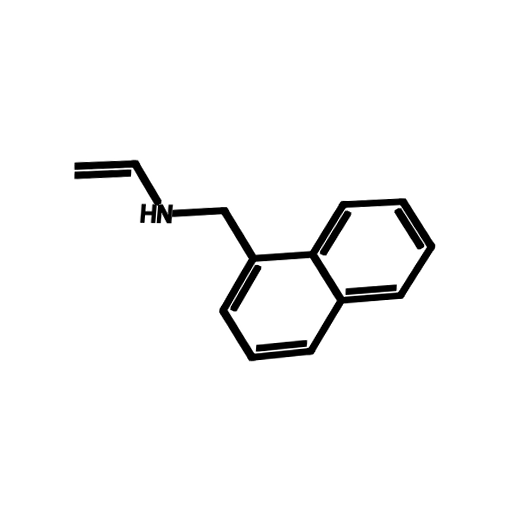 C=CNCc1cccc2ccccc12